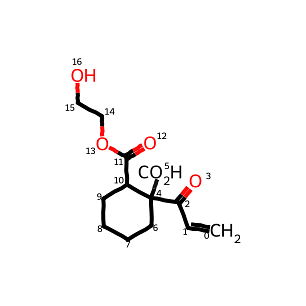 C=CC(=O)C1(C(=O)O)CCCCC1C(=O)OCCO